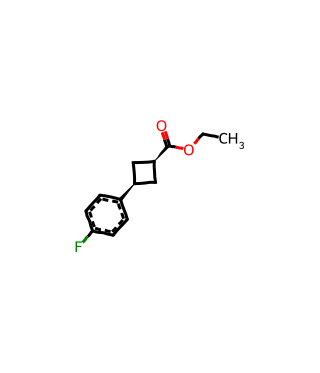 CCOC(=O)[C@H]1C[C@@H](c2ccc(F)cc2)C1